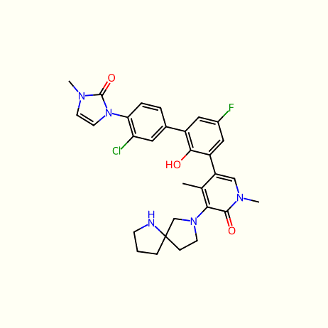 Cc1c(-c2cc(F)cc(-c3ccc(-n4ccn(C)c4=O)c(Cl)c3)c2O)cn(C)c(=O)c1N1CCC2(CCCN2)C1